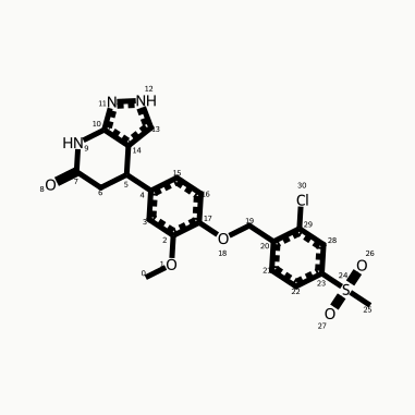 COc1cc(C2CC(=O)Nc3n[nH]cc32)ccc1OCc1ccc(S(C)(=O)=O)cc1Cl